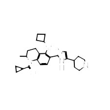 CC1CCc2c(ccc(-c3ncc(C4CCNCC4)[nH]3)c2OC2CCC2)N1C(=O)C1CC1